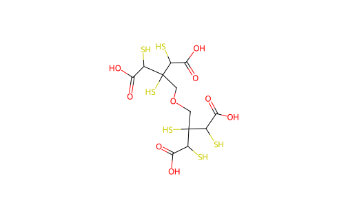 O=C(O)C(S)C(S)(COCC(S)(C(S)C(=O)O)C(S)C(=O)O)C(S)C(=O)O